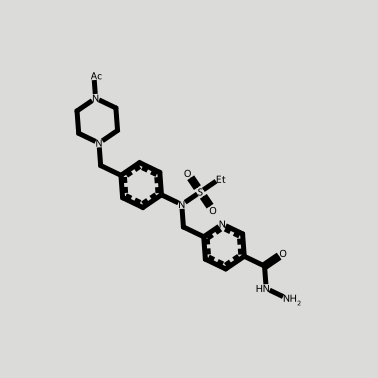 CCS(=O)(=O)N(Cc1ccc(C(=O)NN)cn1)c1ccc(CN2CCN(C(C)=O)CC2)cc1